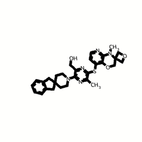 Cc1nc(N2CCC3(CC2)Cc2ccccc2C3)c(CO)nc1Sc1ccnc2c1OCC1(COC1)N2C